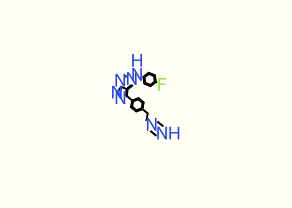 Fc1ccc(Nn2cnc3nnc(-c4ccc(CCN5CCNCC5)cc4)c-3c2)cc1